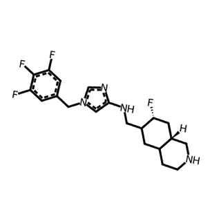 Fc1cc(Cn2cnc(NCC3CC4CCNC[C@H]4C[C@H]3F)c2)cc(F)c1F